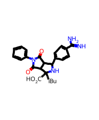 CCC(C)C1(C(=O)O)NC(c2ccc(C(=N)N)cc2)C2C(=O)N(c3ccccc3)C(=O)C21